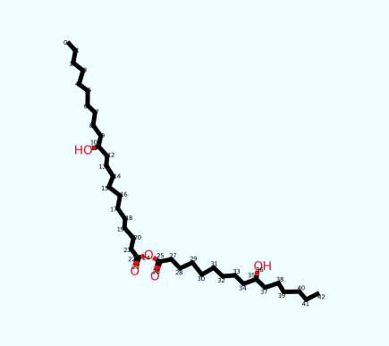 CCCCCCCCCCC(O)CCCCCCCCCCC(=O)OC(=O)CCCCCCCCC(O)CCCCCC